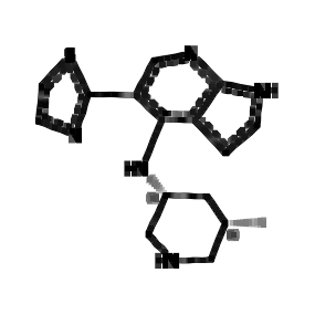 C[C@@H]1CNC[C@H](Nc2c(-c3nccs3)cnc3[nH]ccc23)C1